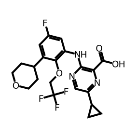 O=C(O)c1nc(C2CC2)cnc1Nc1cc(F)cc(C2CCOCC2)c1OCC(F)(F)F